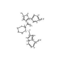 Cc1nc(C(=O)N2CCCC[C@H]2Cc2cn3cccc(F)c3n2)c(-c2ccc(F)cc2)s1